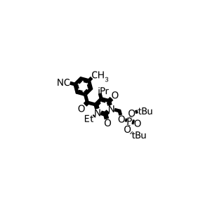 CCn1c(C(=O)c2cc(C)cc(C#N)c2)c(C(C)C)c(=O)n(COP(=O)(OC(C)(C)C)OC(C)(C)C)c1=O